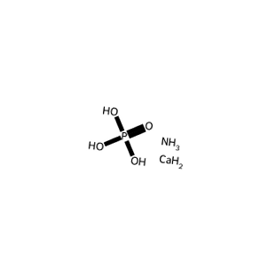 N.O=P(O)(O)O.[CaH2]